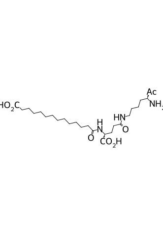 CC(=O)[C@@H](N)CCCCNC(=O)CC[C@H](NC(=O)CCCCCCCCCCCCC(=O)O)C(=O)O